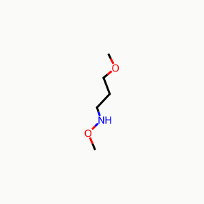 COCCCNOC